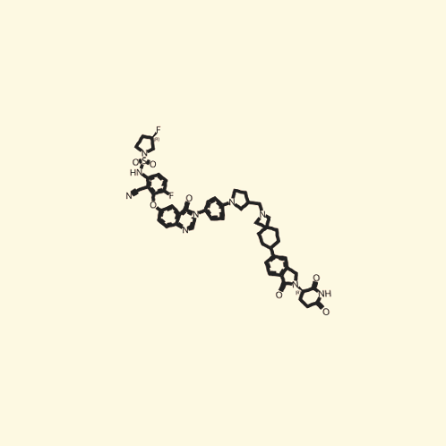 N#Cc1c(NS(=O)(=O)N2CC[C@@H](F)C2)ccc(F)c1Oc1ccc2ncn(-c3ccc(N4CCC(CN5CC6(CCC(c7ccc8c(c7)CN([C@@H]7CCC(=O)NC7=O)C8=O)CC6)C5)C4)cc3)c(=O)c2c1